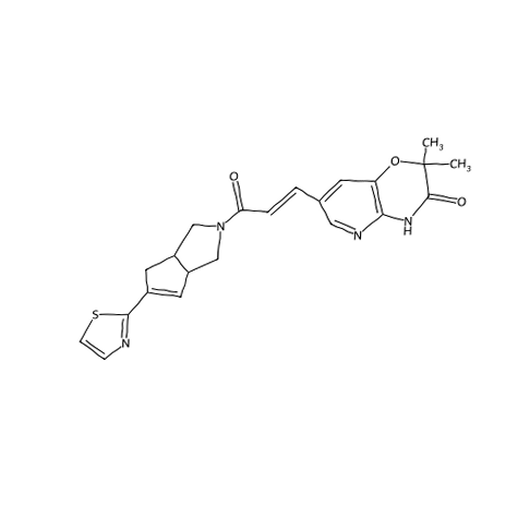 CC1(C)Oc2cc(/C=C/C(=O)N3CC4C=C(c5nccs5)CC4C3)cnc2NC1=O